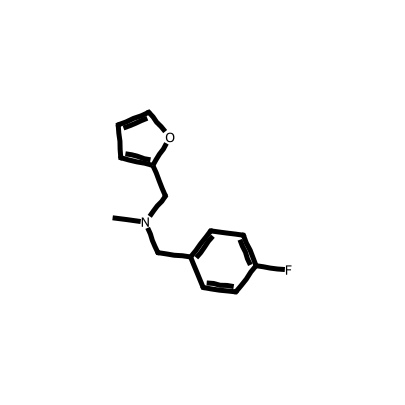 CN(Cc1ccc(F)cc1)Cc1ccco1